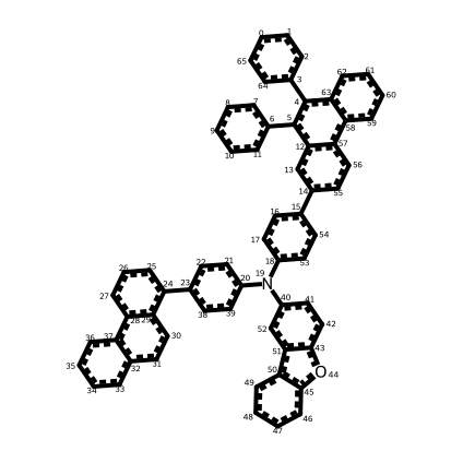 c1ccc(-c2c(-c3ccccc3)c3cc(-c4ccc(N(c5ccc(-c6cccc7c6ccc6ccccc67)cc5)c5ccc6oc7ccccc7c6c5)cc4)ccc3c3ccccc23)cc1